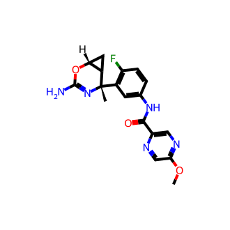 COc1cnc(C(=O)Nc2ccc(F)c([C@]3(C)N=C(N)O[C@@H]4CC43)c2)cn1